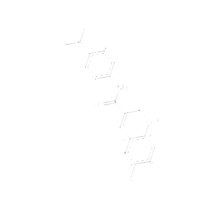 C[C](C)c1ccc(NC(=O)C2=Cc3cc(C)ccc3OC2)cc1